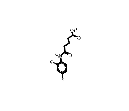 O=C(O)CCCC(=O)Nc1ccc(F)cc1F